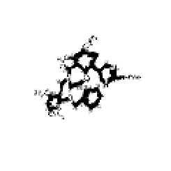 CNc1ncc(-c2cc(OC(C)C)c(C)c3c2OCCN(Cc2c(C)cc(C)nc2OCc2ccccc2)C3=O)cn1